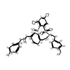 O=Nc1c(Cl)cc(Cl)cc1S(=O)(=O)N(Cc1ccc(F)cc1)Cc1ccc(CNCc2ccc(F)cc2)cc1